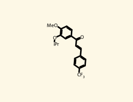 COc1ccc(C(=O)C=Cc2ccc(C(F)(F)F)cc2)cc1OC(C)C